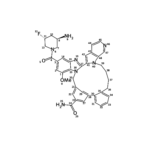 COc1cc(C(=O)N2C[C@H](N)C[C@@H](F)C2)cc2nc3n(c12)Cc1cc(C(N)=O)cc(c1)-c1ccccc1CCCCn1c-3cc2ccncc21